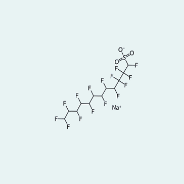 O=S(=O)([O-])C(F)C(F)(F)C(F)(F)C(F)C(F)C(F)C(F)C(F)C(F)C(F)C(F)C(F)F.[Na+]